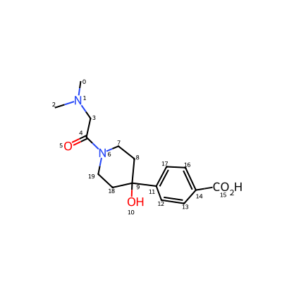 CN(C)CC(=O)N1CCC(O)(c2ccc(C(=O)O)cc2)CC1